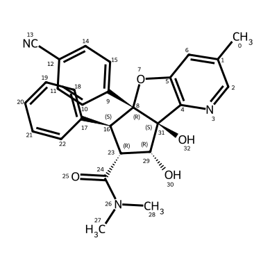 Cc1cnc2c(c1)O[C@@]1(c3ccc(C#N)cc3)[C@H](c3ccccc3)[C@@H](C(=O)N(C)C)[C@@H](O)[C@@]21O